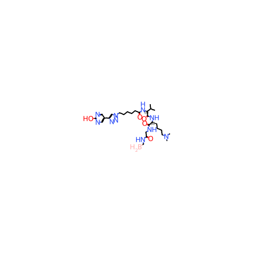 BCNC(=O)CNC(=O)[C@H](CCCCN(C)C)NC(=O)[C@@H](NC(=O)CCCCCn1cc(-c2cnc(O)nc2)nn1)C(C)C